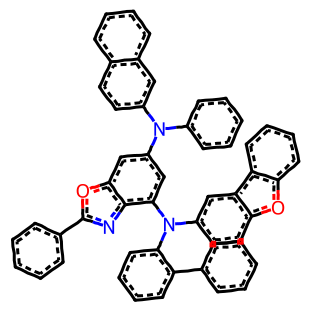 c1ccc(-c2nc3c(N(c4ccc5oc6ccccc6c5c4)c4ccccc4-c4ccccc4)cc(N(c4ccccc4)c4ccc5ccccc5c4)cc3o2)cc1